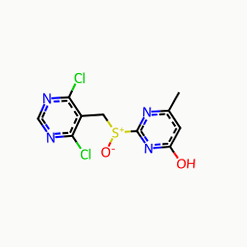 Cc1cc(O)nc([S+]([O-])Cc2c(Cl)ncnc2Cl)n1